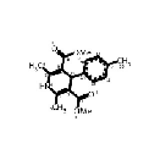 COC(=O)C1=C(C)NC(C)=C(C(=O)OC)C1c1ccc(C)cc1